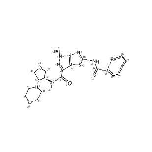 CN(C(=O)c1nn(C(C)(C)C)c2nc(NC(=O)c3ccccc3)sc12)[C@@H]1COC[C@H]1N1CCOCC1